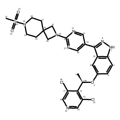 C[C@@H](Oc1ccc2[nH]nc(-c3cnc(N4CC5(CCN(S(C)(=O)=O)CC5)C4)nc3)c2c1)c1c(Cl)cncc1Cl